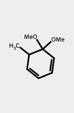 COC1(OC)C=CC=CC1C